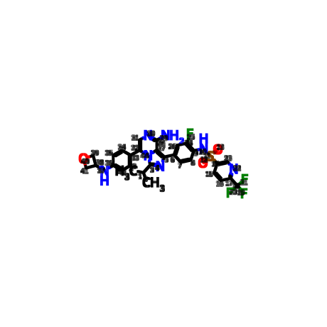 CC(C)c1nc(-c2ccc(NS(=O)(=O)c3ccc(C(F)(F)F)nc3)c(F)c2)c2c(N)ncc(-c3ccc(NC4COC4)cc3)n12